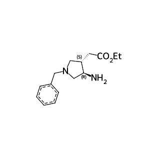 CCOC(=O)C[C@H]1CN(Cc2ccccc2)C[C@@H]1N